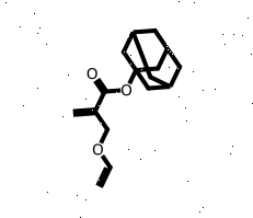 C=COCC(=C)C(=O)OC12CC3CC(CC(C3)C1)C2